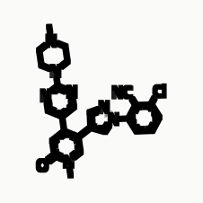 CN1CCN(c2ncc(-c3cc(=O)n(C)cc3-c3cnn(-c4cccc(Cl)c4C#N)c3)cn2)CC1